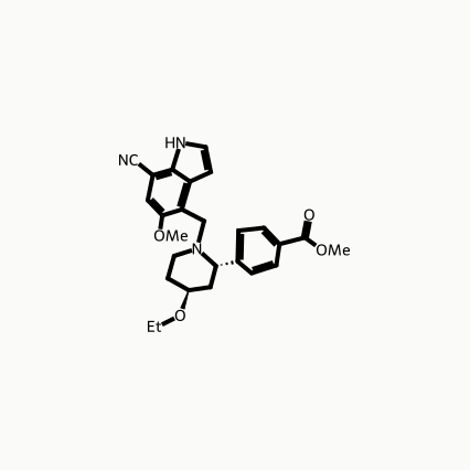 CCO[C@H]1CCN(Cc2c(OC)cc(C#N)c3[nH]ccc23)[C@H](c2ccc(C(=O)OC)cc2)C1